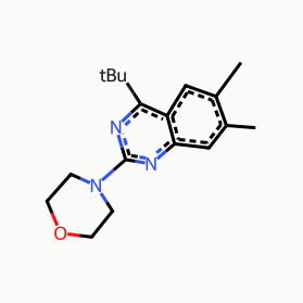 Cc1cc2nc(N3CCOCC3)nc(C(C)(C)C)c2cc1C